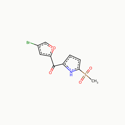 CS(=O)(=O)c1ccc(C(=O)c2cc(Br)co2)[nH]1